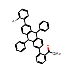 COC(=O)c1ccccc1-c1ccc2c(c1)C(c1ccccc1)c1ccc(-c3ccccc3C(C)=O)cc1C2c1ccccc1